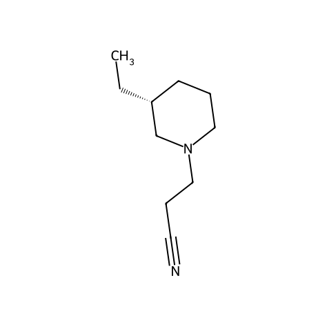 CC[C@@H]1CCCN(CCC#N)C1